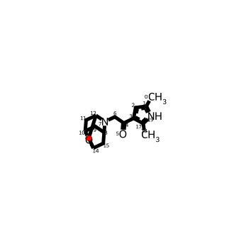 Cc1cc(C(=O)CN2C3CC4CC2CC(C3)O4)c(C)[nH]1